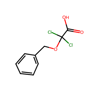 O=C(O)C(Cl)(Cl)OCc1ccccc1